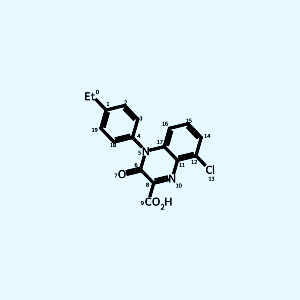 CCc1ccc(-n2c(=O)c(C(=O)O)nc3c(Cl)cccc32)cc1